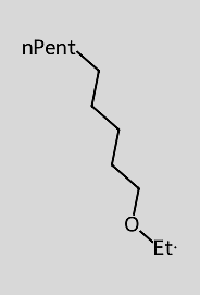 C[CH]OCCCCCCCCCC